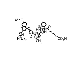 C=C[C@@H]1C[C@]1(NC(=O)[C@@H]1C[C@@H](Oc2cc(-c3csc(NC(C)C)n3)nc3cc(OC)ccc23)CN1)C(=O)NS(=O)(=O)c1ccccc1NC(=O)CCCCCCC(=O)O